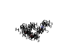 CC(C)OC(=O)C(C)NP(=O)(COC(C)Cn1cnc2c(N)ncnc21)Oc1ccccc1.CC(C)OC(=O)C(C)NP(=O)(COC(C)Cn1cnc2c(N)ncnc21)Oc1ccccc1.COC(C)=O.COC(C)=O.O=C(O)/C=C/C(=O)O